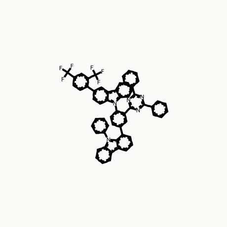 FC(F)(F)c1ccc(-c2ccc3c(c2)c2ccccc2n3-c2ccc(-c3cccc4c5ccccc5n(-c5ccccc5)c34)cc2-c2nc(-c3ccccc3)nc(-c3ccccc3)n2)c(C(F)(F)F)c1